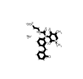 CC1=CN(C)C(=O)C(N(C(=O)NCCC(=O)[O-])c2cccc(Cc3ccccc3Cl)c2)C1=O.[Na+]